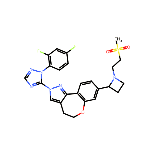 CS(=O)(=O)CCN1CCC1c1ccc2c(c1)OCCc1cn(-c3ncnn3-c3ccc(F)cc3F)nc1-2